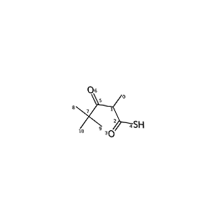 CC(C(=O)S)C(=O)C(C)(C)C